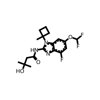 CC(C)(O)CC(=O)Nc1nc2c(F)cc(OC(F)F)cc2n1C1(C)CCC1